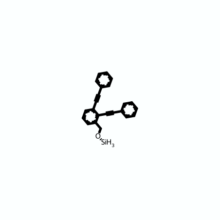 [SiH3]OCc1cccc(C#Cc2ccccc2)c1C#Cc1ccccc1